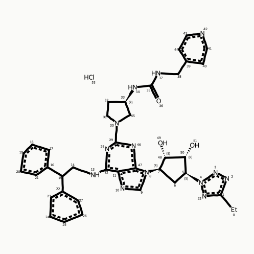 CCc1nnn([C@H]2C[C@@H](n3cnc4c(NCC(c5ccccc5)c5ccccc5)nc(N5CC[C@@H](NC(=O)NCc6ccncc6)C5)nc43)[C@H](O)[C@@H]2O)n1.Cl